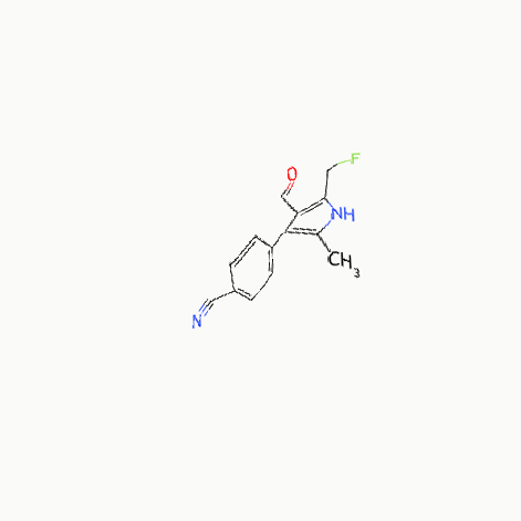 Cc1[nH]c(CF)c(C=O)c1-c1ccc(C#N)cc1